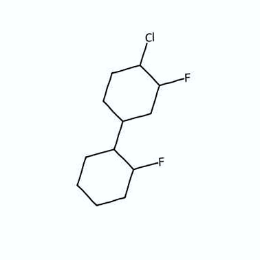 FC1CC(C2CCCCC2F)CCC1Cl